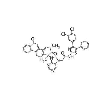 CC1C=c2c(ccc3c2=CC(=O)c2ccccc2-3)C(C)(N2CN(CC(=O)Nc3nc(-c4ccc(Cl)c(Cl)c4)c(-c4ccccc4)s3)c3cncnc32)C1=O